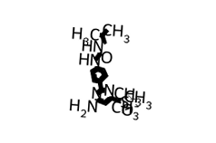 CC(C)CNC(=O)Nc1ccc(-c2nc(N)cc(C(C)(C)[S+](C)[O-])n2)cc1